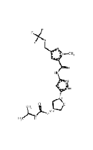 CC(C)NC(=O)O[C@H]1CO[C@@H](c2cc(NC(=O)c3cc(COC(F)(F)F)nn3C)n[nH]2)C1